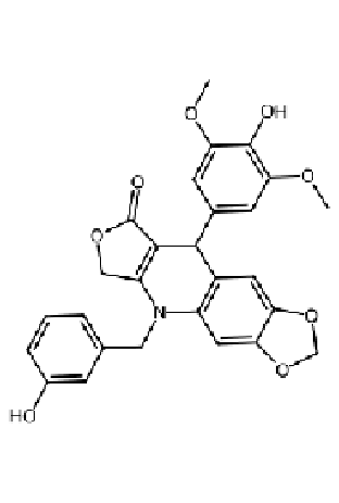 COc1cc(C2C3=C(COC3=O)N(Cc3cccc(O)c3)c3cc4c(cc32)OCO4)cc(OC)c1O